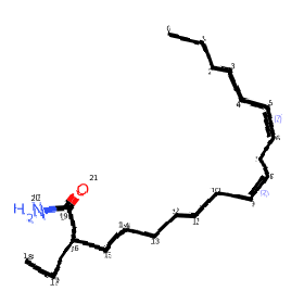 CCCCC/C=C\C/C=C\CCCCCCC(CC)C(N)=O